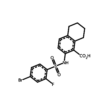 O=C(O)c1c(NS(=O)(=O)c2ccc(Br)cc2F)ccc2c1CCCC2